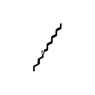 CC=CC=C/C=C/C=N/C/C=C/CC